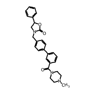 CN1CCN(C(=O)c2cccc(-c3ccc(CN4CC(c5ccccc5)OC4=O)cc3)c2)CC1